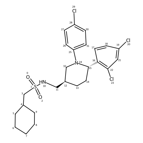 O=S(=O)(CC1CCCCC1)NC[C@@H]1CC[C@@H](c2ccc(Cl)cc2Cl)N(c2ccc(Cl)cc2)C1